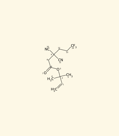 C=CC(C)(C)OC(=O)CC(C#N)(C#N)CCC(F)(F)F